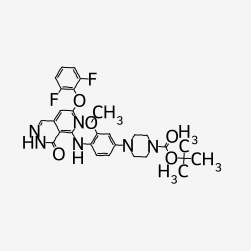 COc1cc(N2CCN(C(=O)OC(C)(C)C)CC2)ccc1Nc1nc(Oc2c(F)cccc2F)cc2cn[nH]c(=O)c12